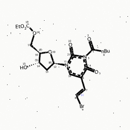 CCCCC(=O)n1c(=O)c(/C=C/Br)cn([C@H]2C[C@H](O)[C@@H](COC(=O)OCC)O2)c1=O